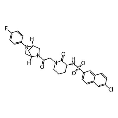 O=C1[C@@H](NS(=O)(=O)c2ccc3cc(Cl)ccc3c2)CCCN1CC(=O)N1C[C@@H]2C[C@H]1CN2c1ccc(F)cc1